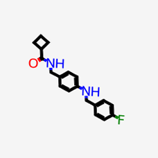 O=C(NCc1ccc(NCc2ccc(F)cc2)cc1)C1CCC1